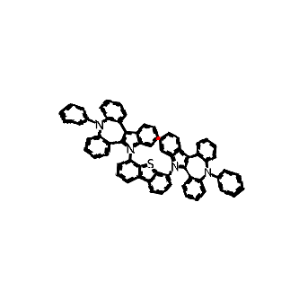 c1ccc(N2c3ccccc3-c3c(n(-c4cccc5c4sc4c(-n6c7c(c8ccccc86)-c6ccccc6N(c6ccccc6)c6ccccc6-7)cccc45)c4ccccc34)-c3ccccc32)cc1